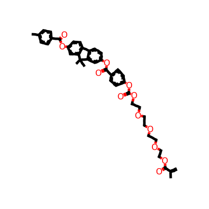 C=C(C)C(=O)OCCOCCOCCOCCOC(=O)Oc1ccc(C(=O)Oc2ccc3c(c2)C(C)(C)c2cc(OC(=O)c4ccc(C)cc4)ccc2-3)cc1